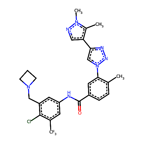 Cc1ccc(C(=O)Nc2cc(CN3CCC3)c(Cl)c(C(F)(F)F)c2)cc1-n1cc(-c2cnn(C)c2C)nn1